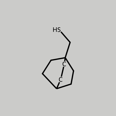 SCC12CCC(CC1)CC2